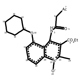 CCOC(=O)c1c(NC(=O)CC(C)=O)c2c(OC3CCCCC3)cccc2[n+]([O-])c1C